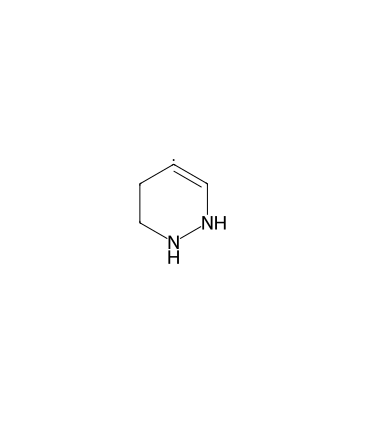 [C]1=CNNCC1